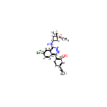 C#Cc1ccc(-c2nnc(NC3CC(C)(OC)C3)c3cc(Br)ccc23)c(O)c1